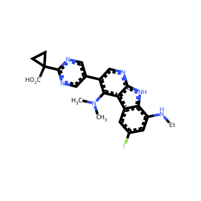 CCNc1cc(F)cc2c1[nH]c1ncc(-c3cnc(C4(C(=O)O)CC4)nc3)c(N(C)C)c12